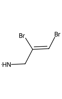 [NH]CC(Br)=CBr